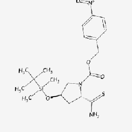 CC(C)(C)[Si](C)(C)O[C@@H]1C[C@@H](C(N)=S)N(C(=O)OCc2ccc([N+](=O)[O-])cc2)C1